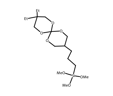 CCC1(CC)COC2(OCC(CCC[Si](OC)(OC)OC)CO2)OC1